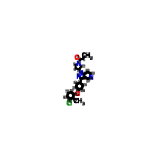 C=CC(=O)N1CCC(n2nc(-c3ccc(Oc4cccc(Cl)c4C)cc3)c3cnccc32)C1